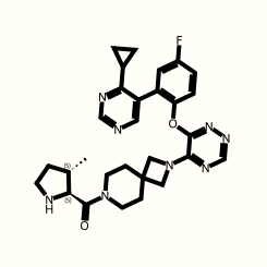 C[C@H]1CCN[C@@H]1C(=O)N1CCC2(CC1)CN(c1ncnnc1Oc1ccc(F)cc1-c1cncnc1C1CC1)C2